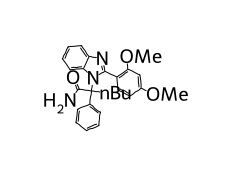 CCCCC(C(N)=O)(c1ccccc1)n1c(-c2ccc(OC)cc2OC)nc2ccccc21